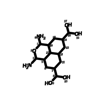 NC1OC(N)C2CC(C(O)O)CC3CC(C(O)O)CC1C32